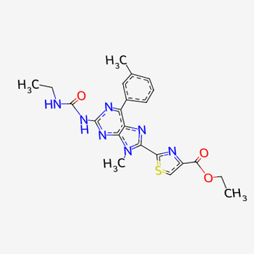 CCNC(=O)Nc1nc(-c2cccc(C)c2)c2nc(-c3nc(C(=O)OCC)cs3)n(C)c2n1